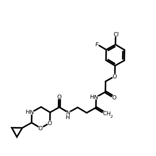 C=C(CCNC(=O)C1CNC(C2CC2)OO1)NC(=O)COc1ccc(Cl)c(F)c1